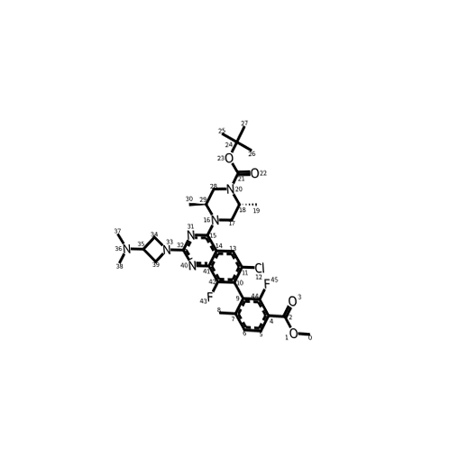 COC(=O)c1ccc(C)c(-c2c(Cl)cc3c(N4C[C@@H](C)N(C(=O)OC(C)(C)C)C[C@@H]4C)nc(N4CC(N(C)C)C4)nc3c2F)c1F